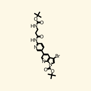 CC(C)(C)OC(=O)NCCC(=O)Nc1ccc(-c2cnc3c(c2)c(Br)cn3C(=O)OC(C)(C)C)cn1